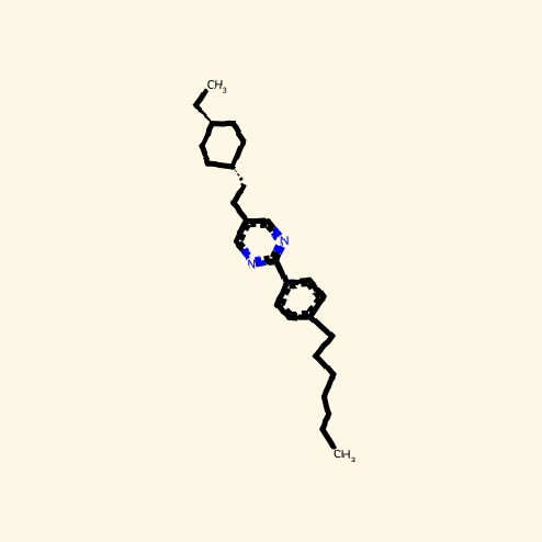 CCCCCCCc1ccc(-c2ncc(CC[C@H]3CC[C@H](CC)CC3)cn2)cc1